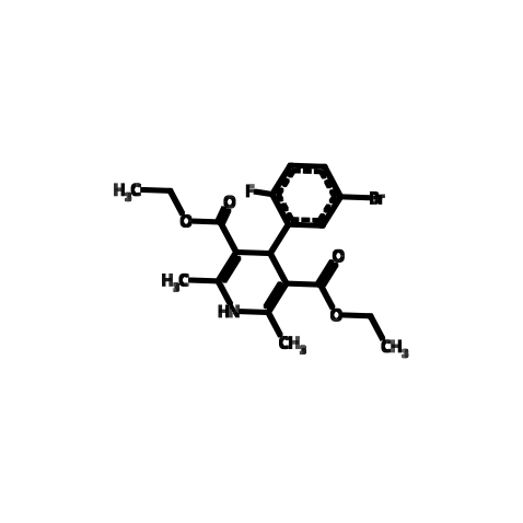 CCOC(=O)C1=C(C)NC(C)=C(C(=O)OCC)C1c1cc(Br)ccc1F